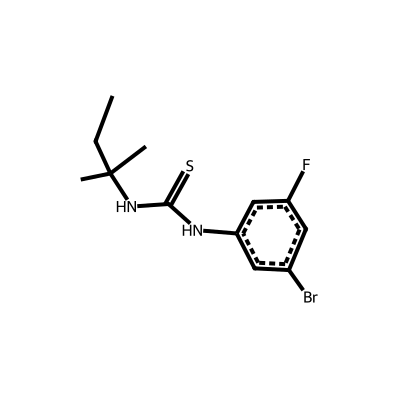 CCC(C)(C)NC(=S)Nc1cc(F)cc(Br)c1